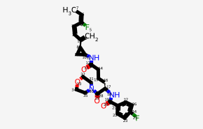 C=C(/C=C\C(F)=C/C)[C@@H]1CC1NC(=O)CCC[C@H](NC(=O)c1ccc(F)cc1)C(=O)N1CCOCC1